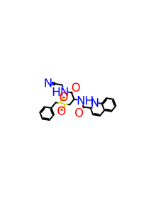 N#CCNC(=O)C(CS(=O)(=O)Cc1ccccc1)NC(=O)c1ccc2ccccc2n1